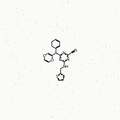 N#Cc1nc(NCc2cccs2)nc(N(C2=CC=CCC2)C2=COC=CO2)n1